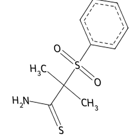 CC(C)(C(N)=S)S(=O)(=O)c1ccccc1